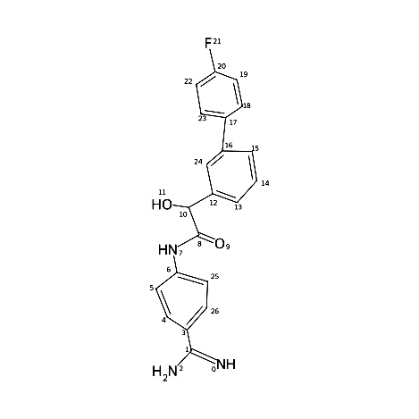 N=C(N)c1ccc(NC(=O)C(O)c2cccc(-c3ccc(F)cc3)c2)cc1